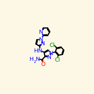 NC(=O)c1nn(-c2c(Cl)cccc2Cl)cc1Nc1ccn(-c2ccccn2)n1